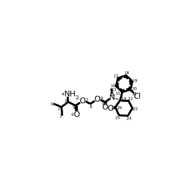 CC(C)C(N)C(=O)OCOC(=O)N(C)[C@]1(c2ccccc2Cl)CCCCC1=O